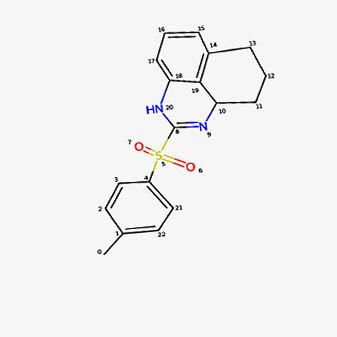 Cc1ccc(S(=O)(=O)C2=NC3CCCc4cccc(c43)N2)cc1